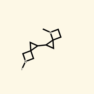 CN1CCC12CC2C1CC12CN(I)C2